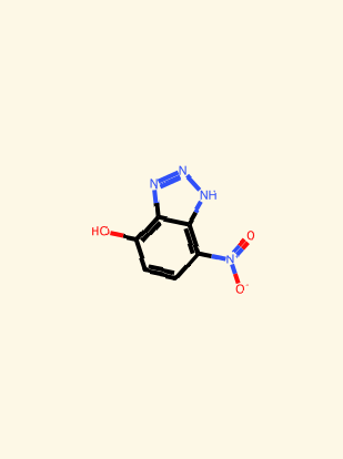 O=[N+]([O-])c1ccc(O)c2nn[nH]c12